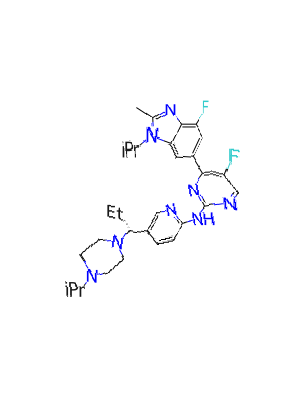 CC[C@H](c1ccc(Nc2ncc(F)c(-c3cc(F)c4nc(C)n(C(C)C)c4c3)n2)nc1)N1CCN(C(C)C)CC1